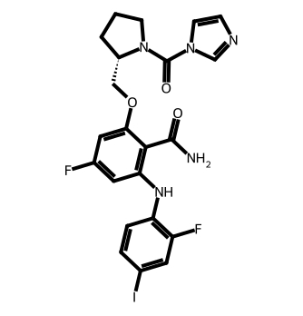 NC(=O)c1c(Nc2ccc(I)cc2F)cc(F)cc1OC[C@@H]1CCCN1C(=O)n1ccnc1